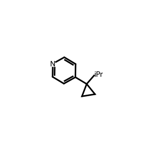 CC(C)C1(c2ccncc2)CC1